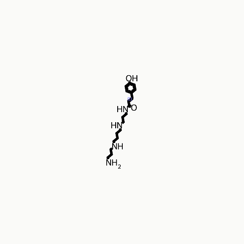 NCCCNCCCCNCCCNC(=O)/C=C/c1ccc(O)cc1